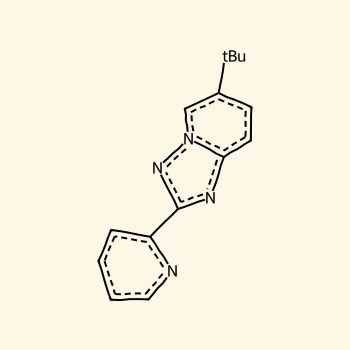 CC(C)(C)c1ccc2nc(-c3ccccn3)nn2c1